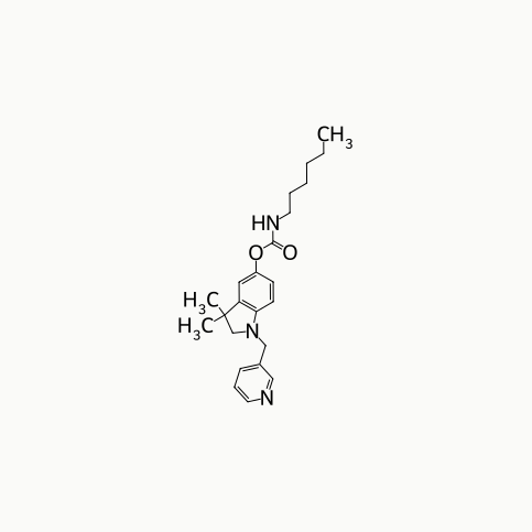 CCCCCCNC(=O)Oc1ccc2c(c1)C(C)(C)CN2Cc1cccnc1